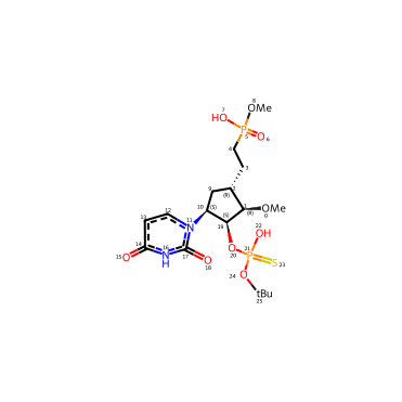 CO[C@@H]1[C@@H](CCP(=O)(O)OC)C[C@H](n2ccc(=O)[nH]c2=O)[C@@H]1OP(O)(=S)OC(C)(C)C